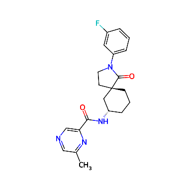 Cc1cncc(C(=O)N[C@H]2CCC[C@]3(CCN(c4cccc(F)c4)C3=O)C2)n1